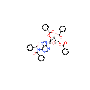 O=C(OC[C@H]1O[C@@H](n2cnc3c(N(C(=O)c4ccccc4)C(=O)c4ccccc4)ncnc32)[C@@H](OC(=O)c2ccccc2)[C@@H]1OC(=O)c1ccccc1)c1ccccc1